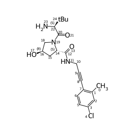 Cc1cc(Cl)ccc1C#CCNC(=O)[C@@H]1C[C@@H](O)CN1C(=O)[C@@H](N)C(C)(C)C